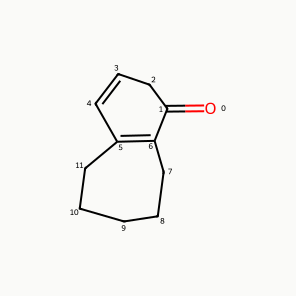 O=C1CC=CC2=C1CCCCC2